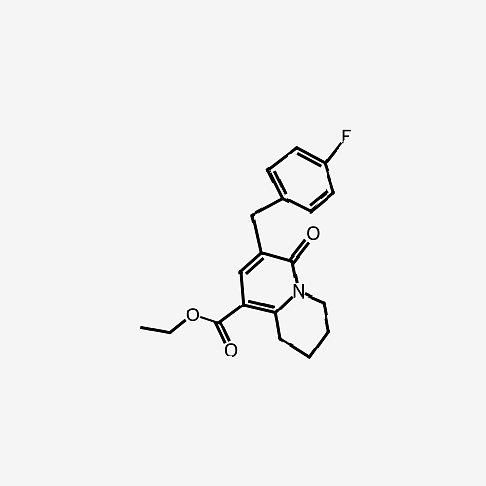 CCOC(=O)c1cc(Cc2ccc(F)cc2)c(=O)n2c1CCCC2